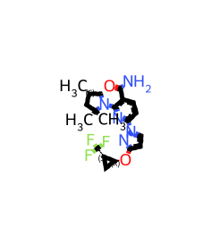 C[C@@H]1CN(c2nc(-n3ccc(O[C@@H]4C[C@@H]4C(F)(F)F)n3)ccc2C(N)=O)C(C)(C)C1